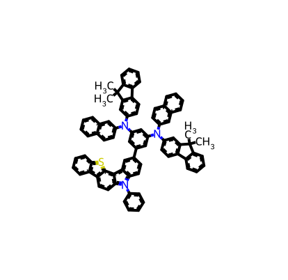 CC1(C)c2ccccc2-c2ccc(N(c3cc(-c4ccc5c(c4)c4c6sc7ccccc7c6ccc4n5-c4ccccc4)cc(N(c4ccc5c(c4)C(C)(C)c4ccccc4-5)c4ccc5ccccc5c4)c3)c3ccc4ccccc4c3)cc21